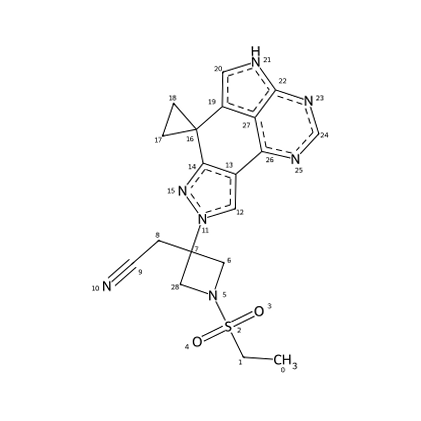 CCS(=O)(=O)N1CC(CC#N)(n2cc3c(n2)C2(CC2)c2c[nH]c4ncnc-3c24)C1